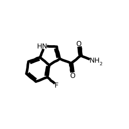 NC(=O)C(=O)c1c[nH]c2cccc(F)c12